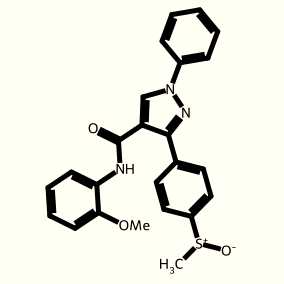 COc1ccccc1NC(=O)c1cn(-c2ccccc2)nc1-c1ccc([S+](C)[O-])cc1